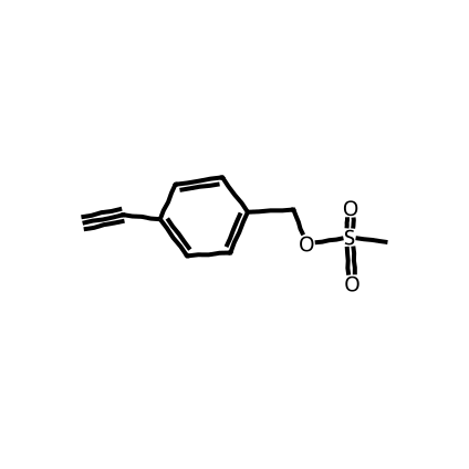 C#Cc1ccc(COS(C)(=O)=O)cc1